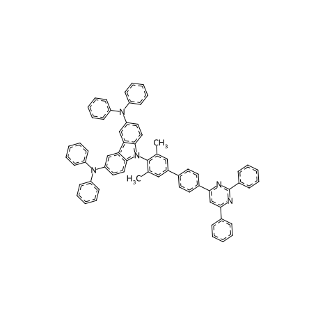 Cc1cc(-c2ccc(-c3cc(-c4ccccc4)nc(-c4ccccc4)n3)cc2)cc(C)c1-n1c2ccc(N(c3ccccc3)c3ccccc3)cc2c2cc(N(c3ccccc3)c3ccccc3)ccc21